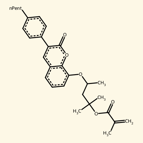 C=C(C)C(=O)OC(C)(C)CC(C)Oc1cccc2cc(-c3ccc(CCCCC)cc3)c(=O)oc12